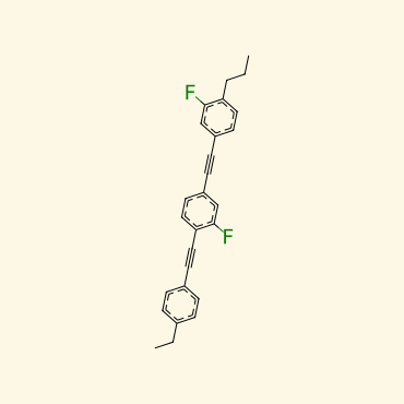 CCCc1ccc(C#Cc2ccc(C#Cc3ccc(CC)cc3)c(F)c2)cc1F